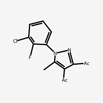 CC(=O)c1nn(-c2cccc(Cl)c2F)c(C)c1C(C)=O